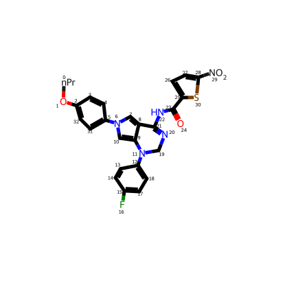 CCCOc1ccc(-n2cc3c(c2)N(c2ccc(F)cc2)CN=C3NC(=O)c2ccc([N+](=O)[O-])s2)cc1